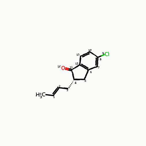 CC=CC[C@H]1Cc2cc(Cl)ccc2C1=O